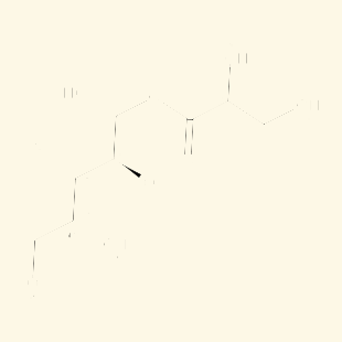 O=C[C@H](OC(=O)C(O)CO)[C@@H](O)[C@@H](O)[C@H](O)CO